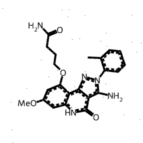 COc1cc(OCCCC(N)=O)c2c(c1)[nH]c(=O)c1c(N)n(-c3ccccc3C)nc12